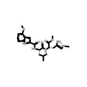 CN/C=C(\N)C[C@H](NC(=O)[C@H](CC(C)C)NC(=O)c1cc2c(OC)cccc2[nH]1)C(=O)OC